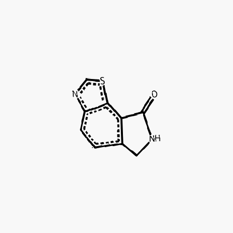 O=C1NCc2[c]cc3ncsc3c21